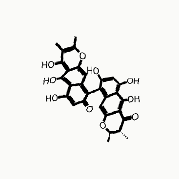 Cc1oc2cc3c(-c4c(O)cc(O)c5c(O)c6c(cc45)O[C@H](C)[C@@H](C)C6=O)c(=O)cc(O)c3c(O)c2c(O)c1C